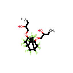 CCC(O)COC12C(F)(F)C3(F)C(F)(F)C(F)(C1(F)F)C(F)(F)C(OCC(O)CC)(C3(F)F)C2(F)F